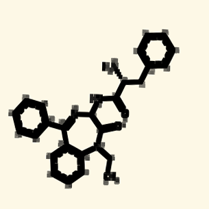 CCN1C(=O)C(NC(=O)[C@H](N)Cc2ccccc2)N=C(c2ccccc2)c2ccccc21